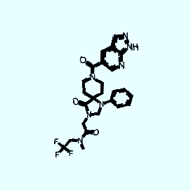 CN(CC(F)(F)F)C(=O)CN1CN(c2ccccc2)C2(CCN(C(=O)c3cnc4[nH]ncc4c3)CC2)C1=O